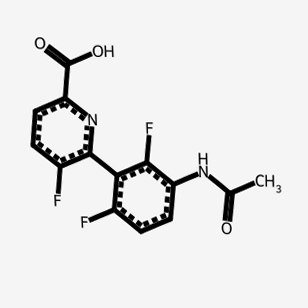 CC(=O)Nc1ccc(F)c(-c2nc(C(=O)O)ccc2F)c1F